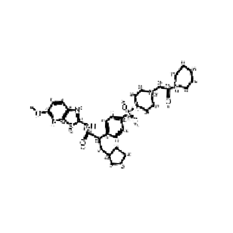 COc1ccc2nc(NC(=O)C(CC3CCCC3)c3ccc(S(=O)(=O)N4CCN(CC(=O)N5CCCCC5)CC4)cc3)sc2n1